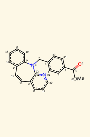 COC(=O)c1ccc(CN2c3ccccc3C=Cc3cccnc32)cc1